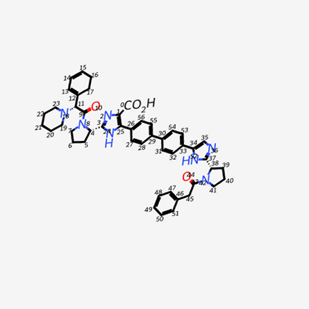 O=C(O)c1nc([C@@H]2CCCN2C(=O)[C@@H](C2=CC=CCC2)N2CCCCC2)[nH]c1-c1ccc(-c2ccc(-c3cnc([C@@H]4CCCN4C(=O)Cc4ccccc4)[nH]3)cc2)cc1